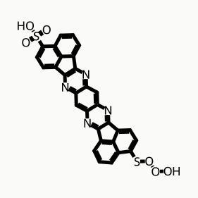 O=S(=O)(O)c1ccc2c3c(cccc13)-c1nc3cc4nc5c(nc4cc3nc1-2)-c1cccc2c(SOOO)ccc-5c12